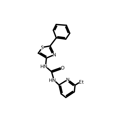 CCc1cccc(NC(=O)Nc2csc(-c3ccccc3)n2)n1